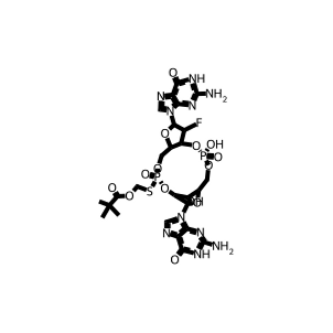 CC(C)(C)C(=O)OCSP1(=O)OCC2OC(n3cnc4c(=O)[nH]c(N)nc43)C(F)C2OP(=O)(O)OCC2OC(n3cnc4c(=O)[nH]c(N)nc43)C(O1)C2O